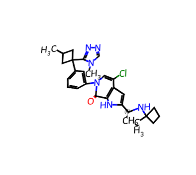 CC1CC(c2cccc(-n3cc(Cl)c4cc([C@@H](C)NC5(C)CCC5)[nH]c4c3=O)c2)(c2nncn2C)C1